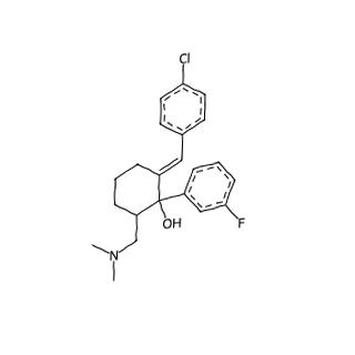 CN(C)CC1CCCC(=Cc2ccc(Cl)cc2)C1(O)c1cccc(F)c1